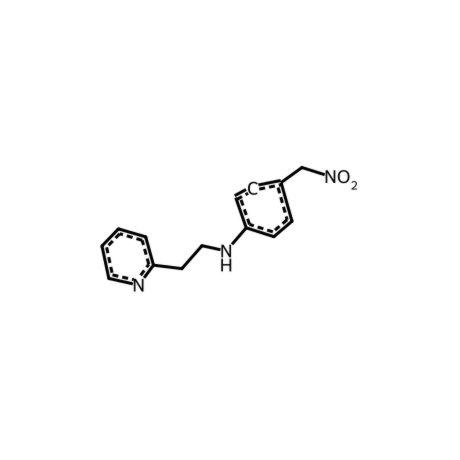 O=[N+]([O-])Cc1ccc(NCCc2ccccn2)cc1